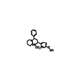 CCCOc1ccc(C(CC(c2ccccc2)N2CCCCC2)NC(=O)O)cc1